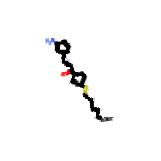 CCCCCCCCCCCCCCCSc1ccc(C(=O)/C=C/c2cccc(N)c2)cc1